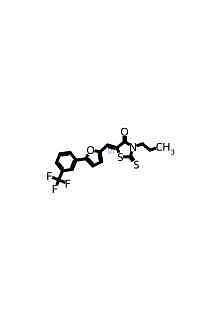 CCCN1C(=O)/C(=C/c2ccc(-c3cccc(C(F)(F)F)c3)o2)SC1=S